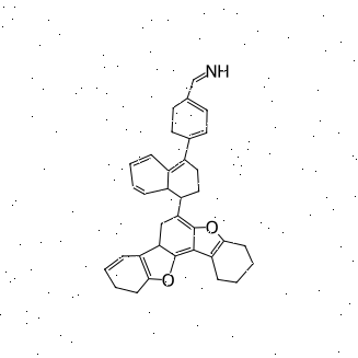 N=CC1=CC=C(C2=C3C=CC=CC3C(C3=c4oc5c(c4=C4OC6=C(C=CCC6)C4C3)CCCC5)CC2)CC1